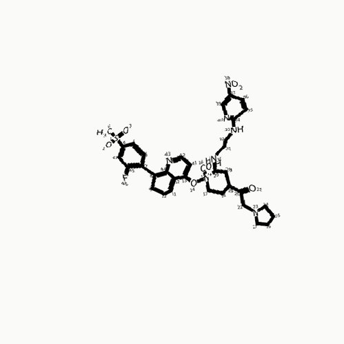 CS(=O)(=O)c1ccc(-c2cccc3c(O[N+]4(C(=O)O)CCC(C(=O)CN5CCCC5)CC4NCCNc4ccc([N+](=O)[O-])cn4)ccnc23)c(F)c1